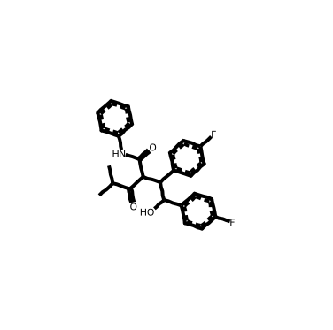 CC(C)C(=O)C(C(=O)Nc1ccccc1)C(c1ccc(F)cc1)C(O)c1ccc(F)cc1